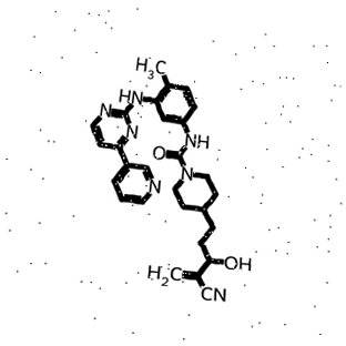 C=C(C#N)C(O)CCC1CCN(C(=O)Nc2ccc(C)c(Nc3nccc(-c4cccnc4)n3)c2)CC1